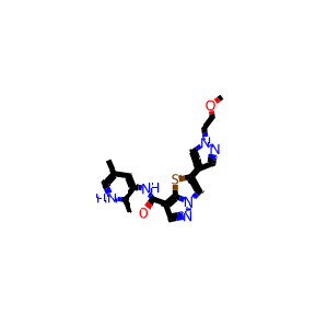 COCCn1cc(-c2cn3ncc(C(=O)NC4=CC(C)=CNC4C)c3s2)cn1